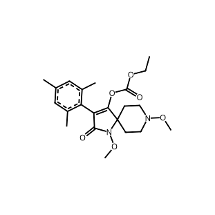 CCOC(=O)OC1=C(c2c(C)cc(C)cc2C)C(=O)N(OC)C12CCN(OC)CC2